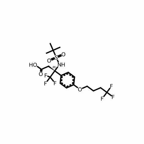 CC(C)(C)S(=O)(=O)N[C@](CC(=O)O)(c1ccc(OCCCC(F)(F)F)cc1)C(F)(F)F